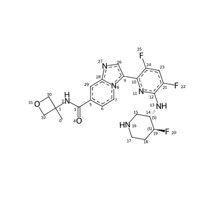 CC1(NC(=O)c2ccn3c(-c4nc(N[C@H]5CNCC[C@@H]5F)c(F)cc4F)cnc3c2)COC1